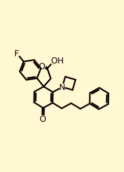 O=C(O)CC1(c2ccc(F)cc2)C=CC(=O)C(CCCc2ccccc2)=C1N1CCC1